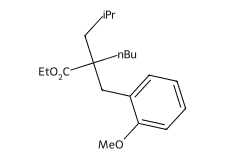 CCCCC(Cc1ccccc1OC)(CC(C)C)C(=O)OCC